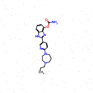 CCCN1CCCN(c2ccc(-c3nc4c(OC(N)=O)cccc4[nH]3)cn2)CC1